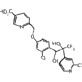 CC(c1ccc(OCc2ccc(C(=O)O)cn2)cc1Cl)C(O)(c1ccnc(Cl)c1)C(F)(F)F